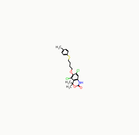 Cc1ccc(SCCCCOc2c(Cl)cc3c(c2Cl)C(C)(C)OC(=O)N3)cc1